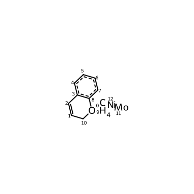 C.C1=Cc2ccccc2OC1.[Mo].[Ni]